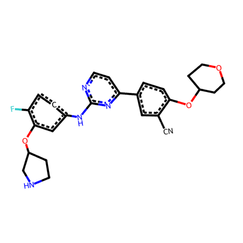 N#Cc1cc(-c2ccnc(Nc3ccc(F)c(OC4CCNC4)c3)n2)ccc1OC1CCOCC1